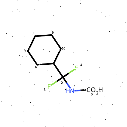 O=C(O)NC(F)(F)C1CCCCC1